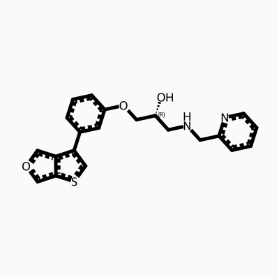 O[C@H](CNCc1ccccn1)COc1cccc(-c2csc3cocc23)c1